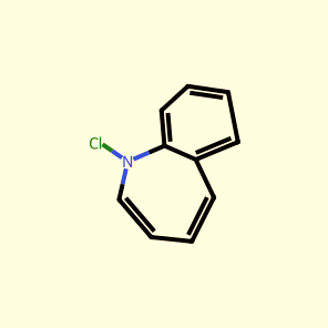 ClN1C=CC=Cc2ccccc21